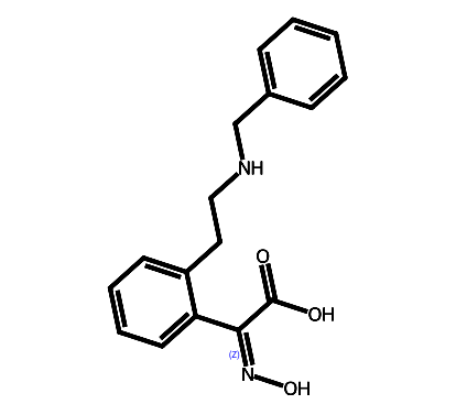 O=C(O)/C(=N\O)c1ccccc1CCNCc1ccccc1